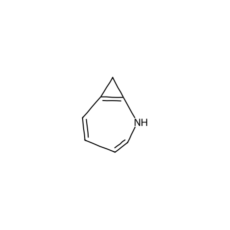 C1=CNC2=C(C=C1)C2